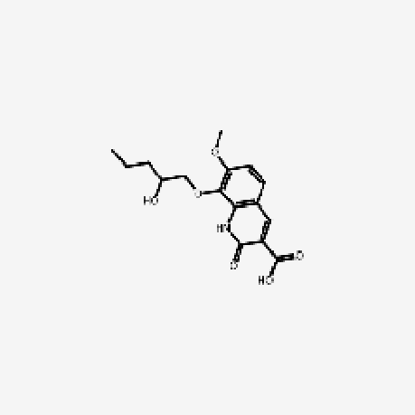 CCCC(O)COc1c(OC)ccc2cc(C(=O)O)c(=O)[nH]c12